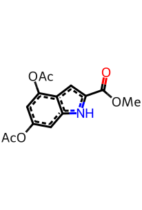 COC(=O)c1cc2c(OC(C)=O)cc(OC(C)=O)cc2[nH]1